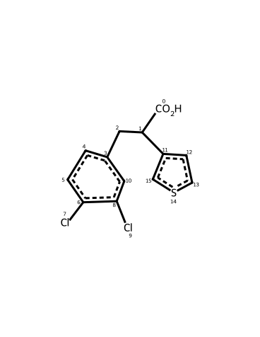 O=C(O)C(Cc1ccc(Cl)c(Cl)c1)c1ccsc1